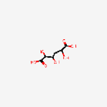 O=C(O)C(O)CC(O)C(O)C(=O)O